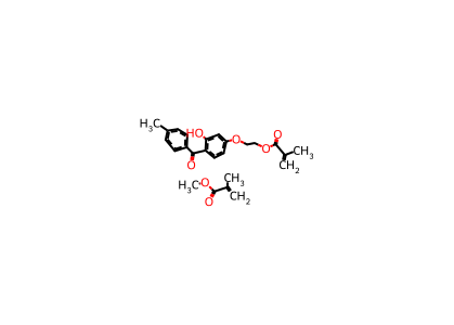 C=C(C)C(=O)OC.C=C(C)C(=O)OCCOc1ccc(C(=O)c2ccc(C)cc2)c(O)c1